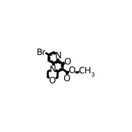 CCOC(=O)c1c2n(c3cc(Br)cnc3c1=O)CCOC2